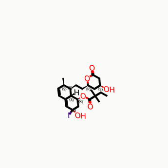 CCC(C)(C)C(=O)O[C@@H]1C[C@](O)(I)C=C2C=C[C@@H](C)[C@@H](CC[C@@H]3C[C@H](O)CC(=O)O3)[C@@H]21